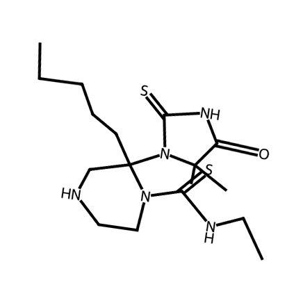 CCCCCC1(N2C(=S)NC(=O)C2(C)C)CNCCN1C(=S)NCC